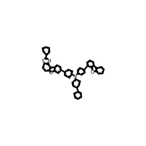 c1ccc(-c2ccc(N(c3ccc(-c4ccc5c(c4)oc4ccc6sc(-c7ccccc7)nc6c45)cc3)c3ccc(-c4cccc5c4oc4ccccc45)cc3)cc2)cc1